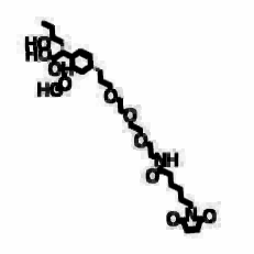 CC[C@@H](O)C[C@@H](C(O)O)C1C=C[C@H](CCCOCCOCCOCCNC(=O)CCCCCN2C(=O)C=CC2=O)C[C@@H]1COO